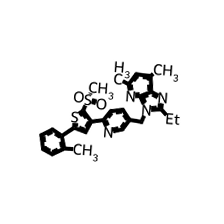 CCc1nc2c(C)cc(C)nc2n1Cc1ccc(-c2cc(-c3ccccc3C)sc2S(C)(=O)=O)nc1